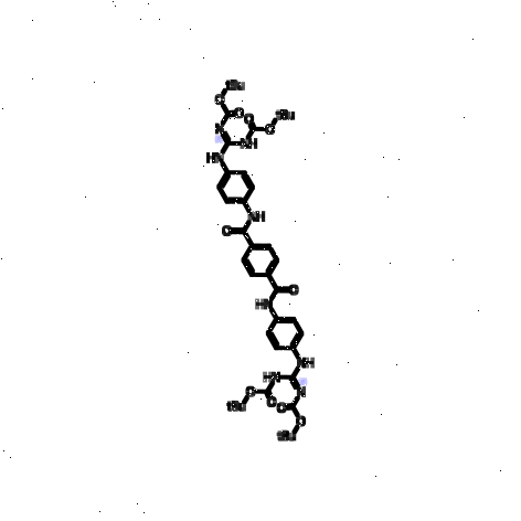 CC(C)(C)OC(=O)/N=C(\NC(=O)OC(C)(C)C)Nc1ccc(NC(=O)c2ccc(C(=O)Nc3ccc(N/C(=N/C(=O)OC(C)(C)C)NC(=O)OC(C)(C)C)cc3)cc2)cc1